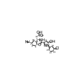 N#Cc1cccc([C@H](CC(=O)O)NC(=O)c2cc(O)n(-c3cccc(Cl)c3)n2)c1